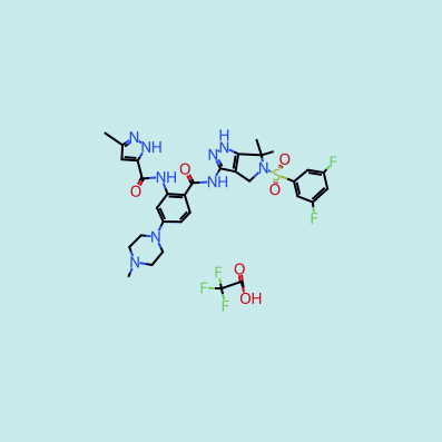 Cc1cc(C(=O)Nc2cc(N3CCN(C)CC3)ccc2C(=O)Nc2n[nH]c3c2CN(S(=O)(=O)c2cc(F)cc(F)c2)C3(C)C)[nH]n1.O=C(O)C(F)(F)F